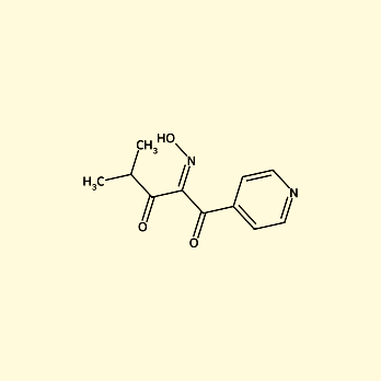 CC(C)C(=O)C(=NO)C(=O)c1ccncc1